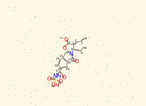 C=C/C=C(C(=O)OC)\C(=C/C)N1Cc2ccc(C(=O)NS(=O)(=O)O)cc2C1=O